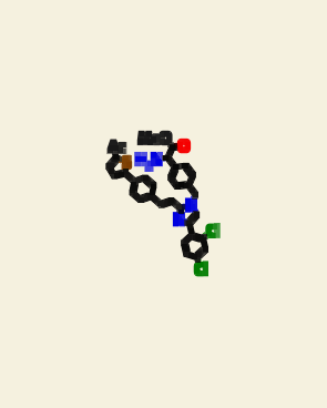 COC(=O)C(N)c1ccc(Cn2cc(-c3ccc(Cl)cc3Cl)nc2/C=C/c2ccc(-c3ccc(C(C)=O)s3)cc2)cc1